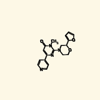 Cn1c(N2CCOC(c3ccco3)C2)nc(-c2ccncc2)cc1=O